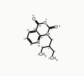 CCC(CC)Cn1c(=O)oc(=O)c2cccnc21